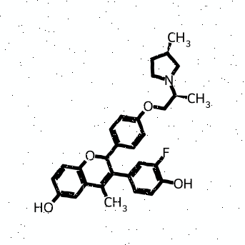 CC1=C(c2ccc(O)c(F)c2)C(c2ccc(OC[C@H](C)N3CC[C@@H](C)C3)cc2)Oc2ccc(O)cc21